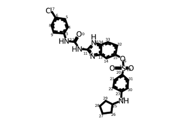 O=C(Nc1ccc(Cl)cc1)Nc1nc2cc(OS(=O)(=O)c3ccc(NC4CCCC4)cc3)ccc2[nH]1